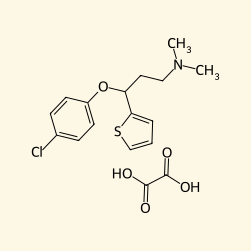 CN(C)CCC(Oc1ccc(Cl)cc1)c1cccs1.O=C(O)C(=O)O